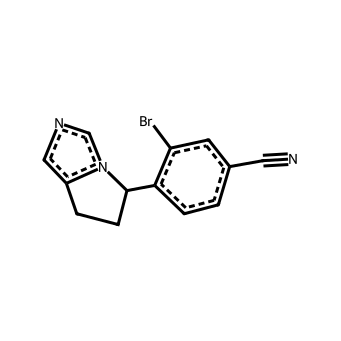 N#Cc1ccc(C2CCc3cncn32)c(Br)c1